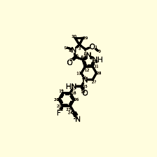 COCC1(N(C)C(=O)c2n[nH]c3c2CN(C(=O)Nc2ccc(F)c(C#N)c2)CC3)CC1